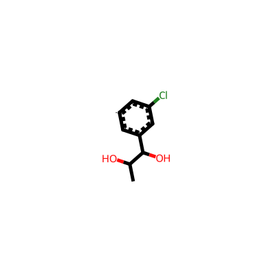 CC(O)C(O)c1c[c]cc(Cl)c1